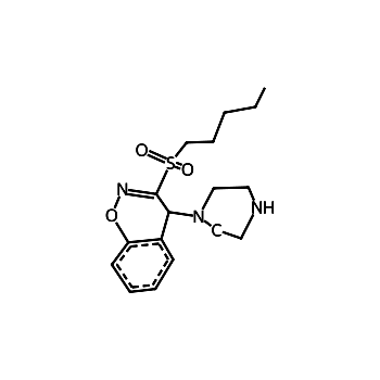 CCCCCS(=O)(=O)C1=NOc2ccccc2C1N1CCNCC1